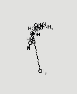 CCCCCCCCCCCCCCCCCCOC[C@H](COP(=O)(O)OC[C@H]1O[C@@](C)(c2ccc3c(N)ncnn23)[C@H](O)[C@@H]1O)Nc1ccc(C#N)cn1